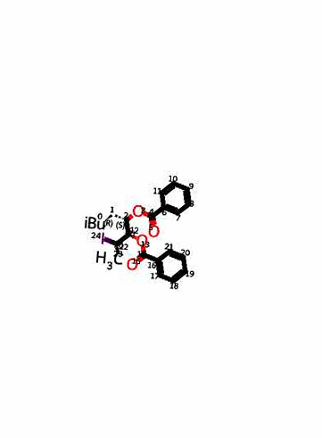 CC[C@@H](C)C[C@H](OC(=O)c1ccccc1)[C@@H](OC(=O)c1ccccc1)[C@@H](C)I